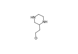 [O]CCC1CNCCN1